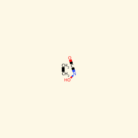 C=C.O=C=NO